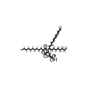 CCCCCCCCCCCC(=O)N(C(CCCCCCCC)CCCCCCCCCCC)[C@@H](CCC(=O)O)C(=O)O